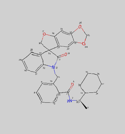 C[C@@H](NC(=O)c1ccccc1CN1C(=O)C2(COc3cc4c(cc32)OCO4)c2ccccc21)C1CCCCC1